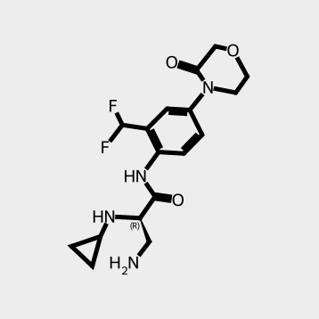 NC[C@@H](NC1CC1)C(=O)Nc1ccc(N2CCOCC2=O)cc1C(F)F